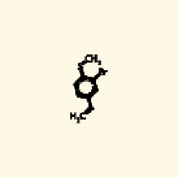 C=[C]c1ccc(SC)c(Br)c1